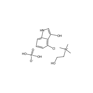 C[N+](C)(C)CCO.O=P([O-])(O)O.Oc1c[nH]c2cccc(Cl)c12